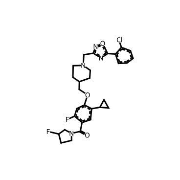 O=C(c1cc(C2CC2)c(OCC2CCN(Cc3noc(-c4ccccc4Cl)n3)CC2)cc1F)N1CCC(F)C1